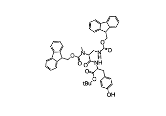 CN(C(=O)OCC1c2ccccc2-c2ccccc21)C(CNC(=O)OCC1c2ccccc2-c2ccccc21)C(=O)NC(Cc1ccc(O)cc1)C(=O)OC(C)(C)C